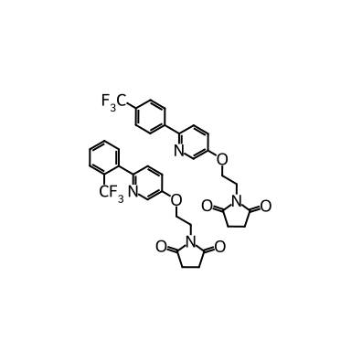 O=C1CCC(=O)N1CCOc1ccc(-c2ccc(C(F)(F)F)cc2)nc1.O=C1CCC(=O)N1CCOc1ccc(-c2ccccc2C(F)(F)F)nc1